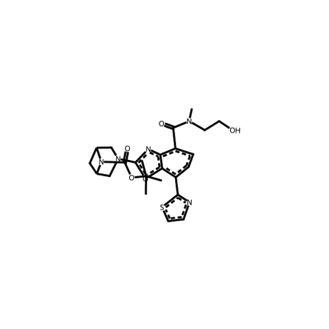 CN(CCO)C(=O)c1ccc(-c2nccs2)c2oc(N3CC4CC(C3)N4C(=O)OC(C)(C)C)nc12